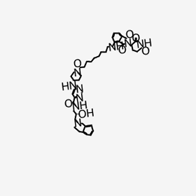 O=C1CCC(N2C(=O)c3cccc(NCCCCCCCCC(=O)N4CCC(Nc5cc(C(=O)NC[C@H](O)CN6CCc7ccccc7C6)ncn5)CC4)c3C2=O)C(=O)N1